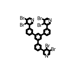 Brc1cncc(-c2cccc(-c3cc(-c4cccc(-c5cncc(Br)c5Br)c4)cc(-c4cccc(-c5cncc(Br)c5Br)c4)c3)c2)c1Br